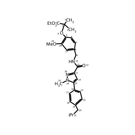 CCOC(=O)C(C)(C)Oc1ccc(CNC(=O)c2cc(-c3ccc(CC(C)C)cc3)n(C)n2)cc1OC